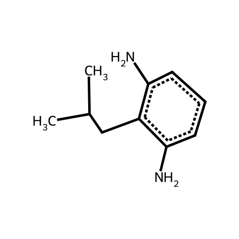 CC(C)Cc1c(N)cccc1N